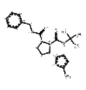 Cc1ccc([C@@H]2CC[C@@H](C(=O)OCc3ccccc3)N2C(=O)OC(C)(C)C)o1